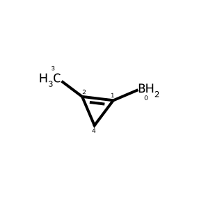 BC1=C(C)C1